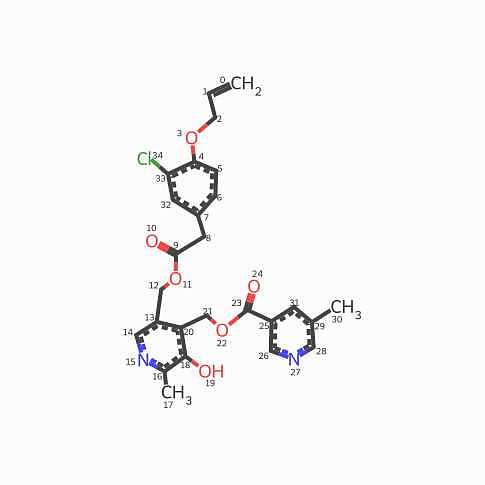 C=CCOc1ccc(CC(=O)OCc2cnc(C)c(O)c2COC(=O)c2cncc(C)c2)cc1Cl